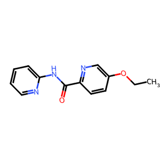 CCOc1ccc(C(=O)Nc2ccccn2)nc1